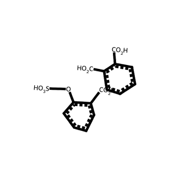 O=C(O)c1ccccc1C(=O)O.O=C(O)c1ccccc1OS(=O)(=O)O